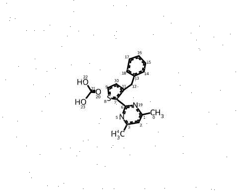 Cc1cc(C)nc(-c2sccc2Cc2ccccc2)n1.O=C(O)O